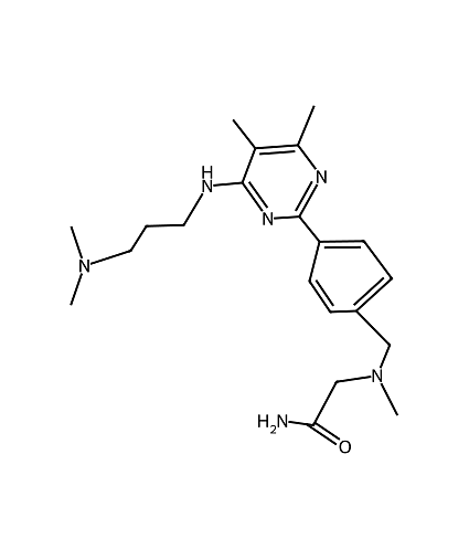 Cc1nc(-c2ccc(CN(C)CC(N)=O)cc2)nc(NCCCN(C)C)c1C